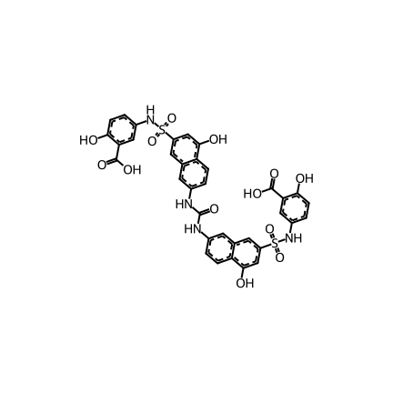 O=C(Nc1ccc2c(O)cc(S(=O)(=O)Nc3ccc(O)c(C(=O)O)c3)cc2c1)Nc1ccc2c(O)cc(S(=O)(=O)Nc3ccc(O)c(C(=O)O)c3)cc2c1